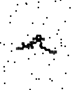 CCCCCCC(=O)NCC(=O)NC[C@@H]1[C@@H]2CC[C@@H](C2)[C@@H]1C/C=C\CCCC(=O)O